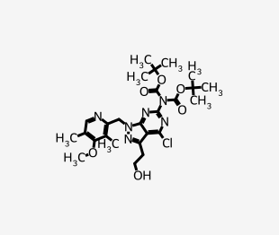 COc1c(C)cnc(Cn2nc(CCO)c3c(Cl)nc(N(C(=O)OC(C)(C)C)C(=O)OC(C)(C)C)nc32)c1C